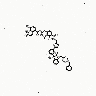 COc1c(CNCC(O)c2ccc(O)c3[nH]c(=O)ccc23)ccc(C(=O)NCc2ccc(-c3cccc(C(O)(C(=O)OCC4CCN(Cc5ccccc5)CC4)c4ccccc4)c3)s2)c1F